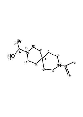 C=C(C)N1CCC2(CC1)CCN(C(O)C(C)C)CC2